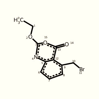 CCOc1nc2cccc(CBr)c2c(=O)o1